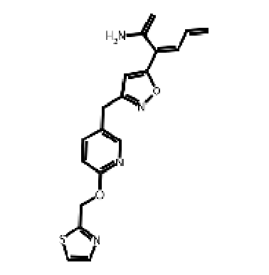 C=C/C=C(\C(=C)N)c1cc(Cc2ccc(OCc3nccs3)nc2)no1